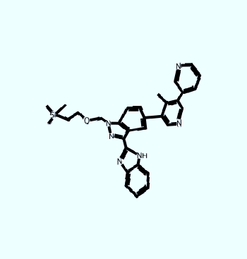 Cc1c(-c2cccnc2)cncc1-c1ccc2c(c1)c(-c1nc3ccccc3[nH]1)nn2COCC[Si](C)(C)C